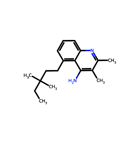 CCC(C)(C)CCc1cccc2nc(C)c(C)c(N)c12